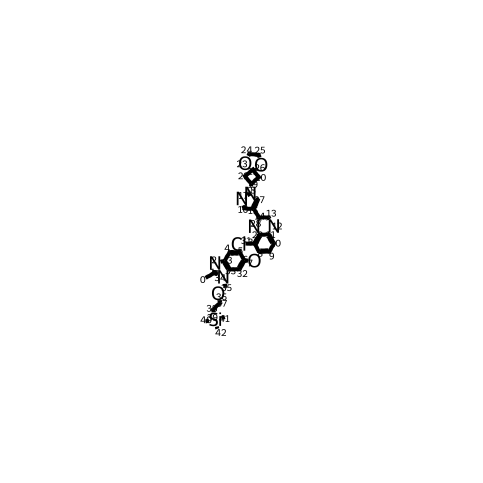 Cc1nc2ccc(Oc3ccc4ncc(-c5cnn(C6CC7(C6)OCCO7)c5)nc4c3Cl)cc2n1COCC[Si](C)(C)C